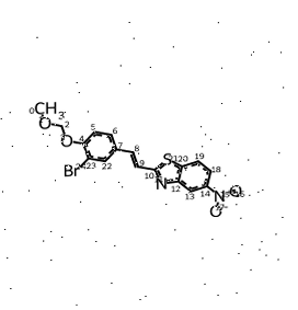 COCOc1ccc(C=Cc2nc3cc([N+](=O)[O-])ccc3s2)cc1Br